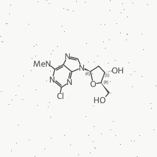 CNc1nc(Cl)nc2c1ncn2[C@H]1C[C@H](O)[C@@H](CO)O1